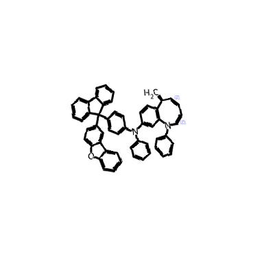 C=C1/C=C\C=C/N(c2ccccc2)c2cc(N(c3ccccc3)c3ccc(C4(c5ccc6oc7ccccc7c6c5)c5ccccc5-c5ccccc54)cc3)ccc21